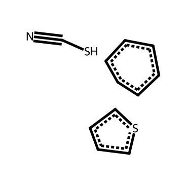 N#CS.c1ccccc1.c1ccsc1